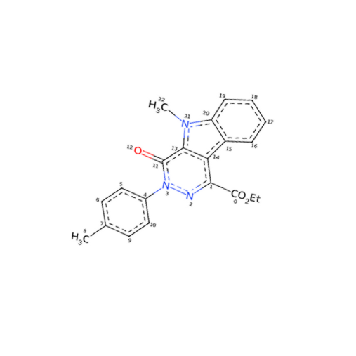 CCOC(=O)c1nn(-c2ccc(C)cc2)c(=O)c2c1c1ccccc1n2C